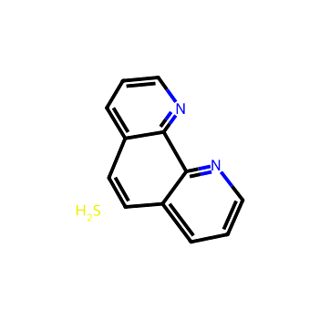 S.c1cnc2c(c1)ccc1cccnc12